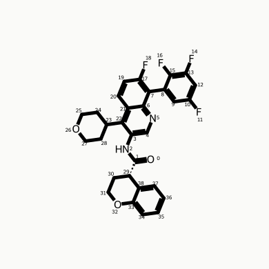 O=C(Nc1cnc2c(-c3cc(F)cc(F)c3F)c(F)ccc2c1C1CCOCC1)[C@H]1CCOc2ccccc21